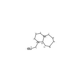 CC(C)(C)CN1CCCN2CCCCCC21